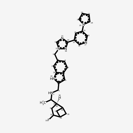 CC(NCc1cc2ccc(Cn3cnc(-c4cncc(-n5cccc5)c4)n3)cc2[nH]1)[C@@H]1CC(F)C2CC1C2